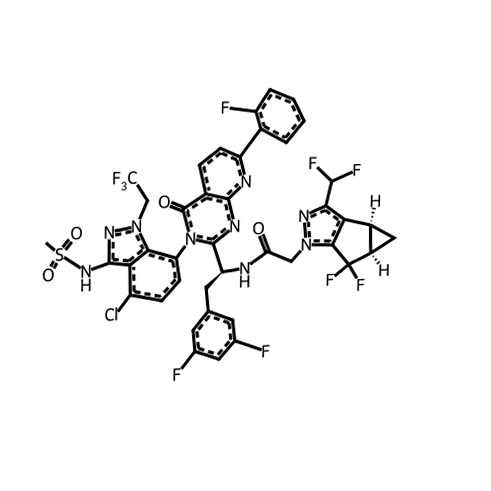 CS(=O)(=O)Nc1nn(CC(F)(F)F)c2c(-n3c([C@H](Cc4cc(F)cc(F)c4)NC(=O)Cn4nc(C(F)F)c5c4C(F)(F)[C@@H]4C[C@H]54)nc4nc(-c5ccccc5F)ccc4c3=O)ccc(Cl)c12